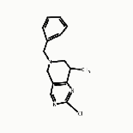 CC1CN(Cc2ccccc2)Cc2cnc(Cl)nc21